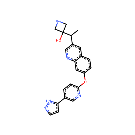 CC(c1cnc2cc(Oc3ccc(-c4ccn[nH]4)cn3)ccc2c1)C1(O)CNC1